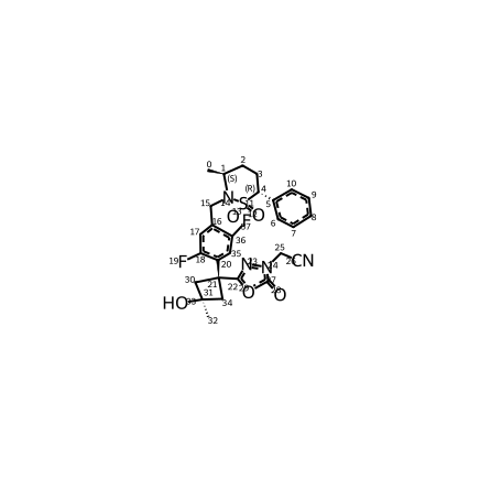 C[C@H]1CC[C@H](c2ccccc2)S(=O)(=O)N1Cc1cc(F)c([C@]2(c3nn(CC#N)c(=O)o3)C[C@](C)(O)C2)cc1F